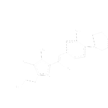 N#C/C(=C\c1ccc(N2CCCCC2)c([N+](=O)[O-])c1)c1nn(CCO)c(N)c1C#N